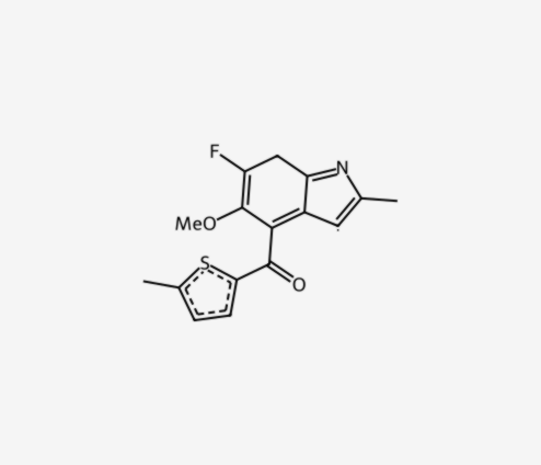 COC1=C(F)CC2=NC(C)=[C]C2=C1C(=O)c1ccc(C)s1